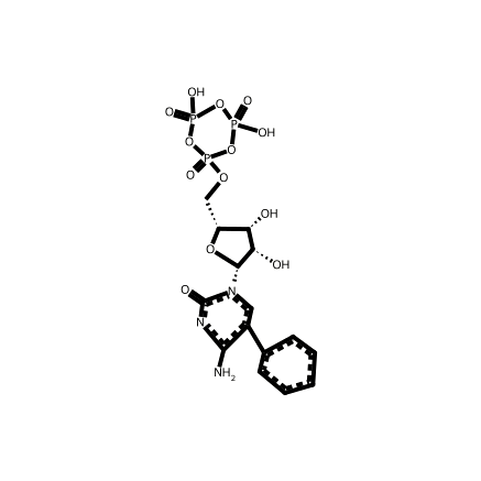 Nc1nc(=O)n([C@@H]2O[C@H](COP3(=O)OP(=O)(O)OP(=O)(O)O3)[C@H](O)[C@@H]2O)cc1-c1ccccc1